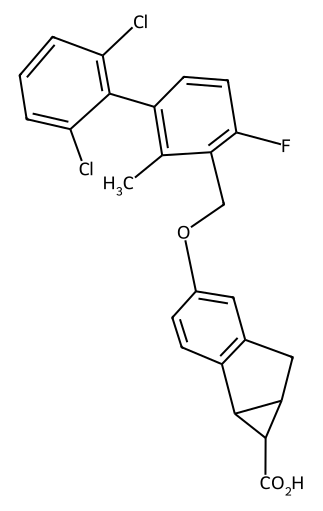 Cc1c(-c2c(Cl)cccc2Cl)ccc(F)c1COc1ccc2c(c1)CC1C(C(=O)O)C21